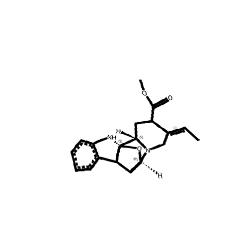 C/C=C1\CN2[C@@H](CC1C(=O)OC)[C@]13Nc4ccccc4C1C[C@H]2O3